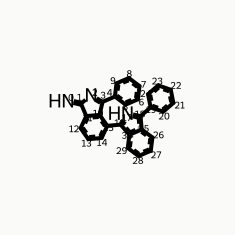 N=C1N=C(c2ccccc2)c2c1cccc2-c1[nH]c(-c2ccccc2)c2ccccc12